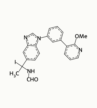 COc1ncccc1-c1cccc(-n2cnc3cc(C(C)(I)NC=O)ccc32)c1